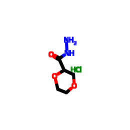 Cl.NNC(=O)C1COCCO1